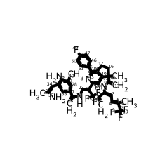 C=C/C(=C\C=C(/C)C(F)(F)F)NC(=C)C1(C)CCc2c1cc(C(CNC(=C)c1cc(C)c(N)c(/C=C(/C)N)c1)C(F)(F)F)nc2-c1ccc(F)cc1